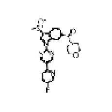 C[S+]([O-])c1cn(-c2ncc(-c3ccc(F)cn3)cn2)c2cc(C(=O)N3CCOCC3)ccc12